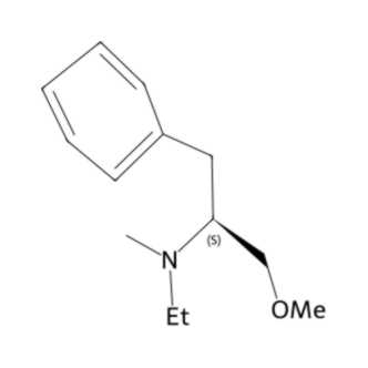 CCN(C)[C@H](COC)Cc1ccccc1